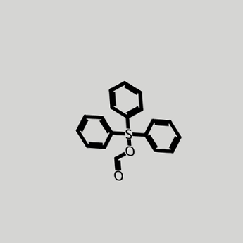 O=COS(c1ccccc1)(c1ccccc1)c1ccccc1